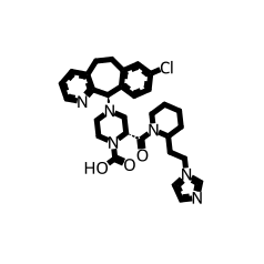 O=C([C@H]1CN([C@H]2c3ccc(Cl)cc3CCc3cccnc32)CCN1C(=O)O)N1CCCCC1CCn1ccnc1